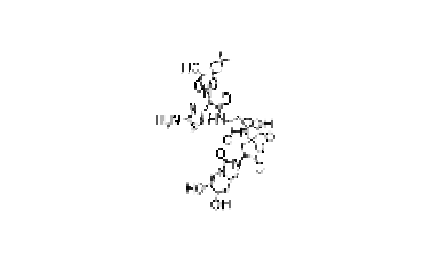 CC1(C)CC(O/N=C(\C(=O)N[C@H]2CON(C3(C(=O)O)CC(n4cc5cc(O)c(O)cn5c4=O)C(=O)O3)C2=O)c2csc(N)n2)(C(=O)O)C1